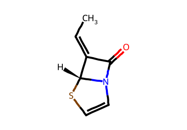 CC=C1C(=O)N2C=CS[C@H]12